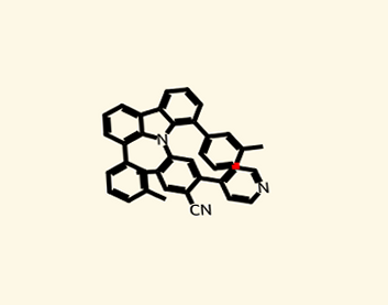 Cc1cccc(-c2cccc3c4cccc(-c5cccc(C)c5)c4n(-c4cc(-c5ccncc5)c(C#N)cc4C)c23)c1